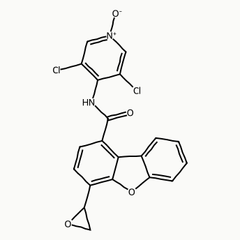 O=C(Nc1c(Cl)c[n+]([O-])cc1Cl)c1ccc(C2CO2)c2oc3ccccc3c12